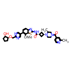 COC1=C(c2cnc(CO[C@H]3CCC[C@@H]3O)nc2)C=CC2N=C(NC(=O)[C@H]3C[C@@H](N4CCN(C(=O)c5ccnc(C)c5)C[C@@H]4C)C3)SC12